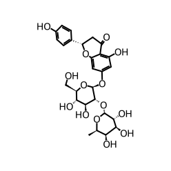 C[C@H]1O[C@H](O[C@H]2[C@H](Oc3cc(O)c4c(c3)O[C@H](c3ccc(O)cc3)CC4=O)O[C@H](CO)[C@@H](O)[C@@H]2O)[C@H](O)[C@@H](O)[C@H]1O